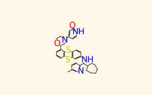 Cc1ccc(C(Nc2ccc3c(c2)Sc2cccc(C4CN(c5cc[nH]c(=O)c5)CCO4)c2S3)C2CCCCCC2)nc1